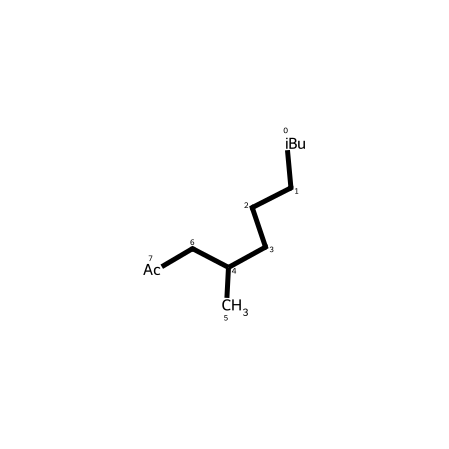 CCC(C)CCCC(C)CC(C)=O